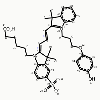 CC1(C)C(/C=C/C=C2/N(CCCCCC(=O)O)c3ccc(S(=O)(=O)[O-])cc3C2(C)C)=[N+](CCCOc2ccc(O)cc2)c2ccccc21